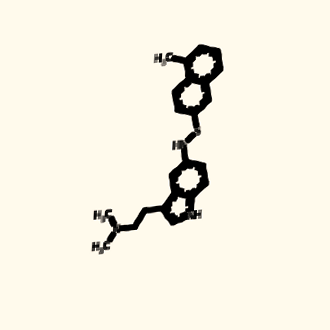 Cc1cccc2cc(SNc3ccc4[nH]cc(CCN(C)C)c4c3)ccc12